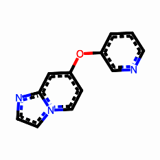 c1cncc(Oc2ccn3ccnc3c2)c1